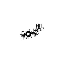 C[C@H](N)c1nc(-c2ccc(C(F)(F)F)cc2)cs1